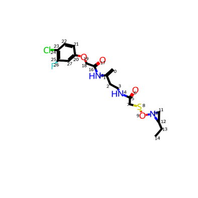 C=C(CCNC(=O)CSON1CC1CC)NC(=O)COc1ccc(Cl)c(F)c1